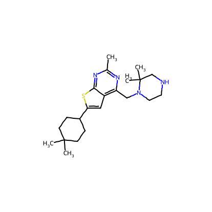 Cc1nc(CN2CCNCC2(C)C)c2cc(C3CCC(C)(C)CC3)sc2n1